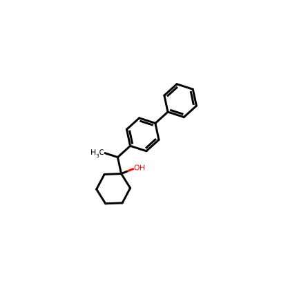 CC(c1ccc(-c2ccccc2)cc1)C1(O)CCCCC1